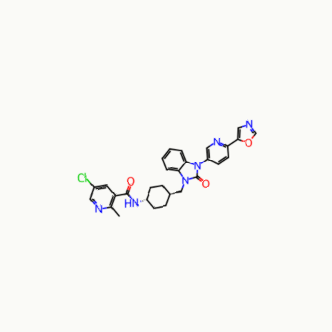 Cc1ncc(Cl)cc1C(=O)N[C@H]1CC[C@H](Cn2c(=O)n(-c3ccc(-c4cnco4)nc3)c3ccccc32)CC1